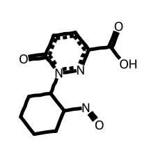 O=NC1CCCCC1n1nc(C(=O)O)ccc1=O